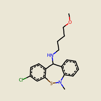 COCCCCNC1c2ccc(Cl)cc2SN(C)c2ccccc21